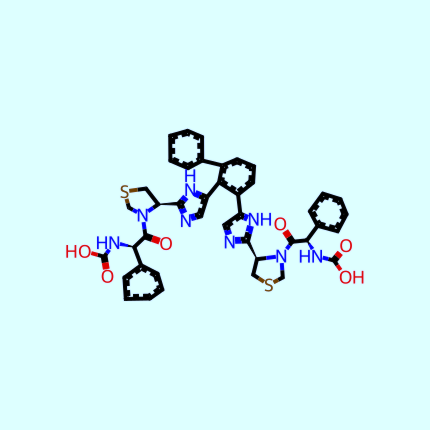 O=C(O)N[C@@H](C(=O)N1CSC[C@H]1c1ncc(-c2cccc(-c3ccccc3)c2-c2cnc([C@@H]3CSCN3C(=O)[C@H](NC(=O)O)c3ccccc3)[nH]2)[nH]1)c1ccccc1